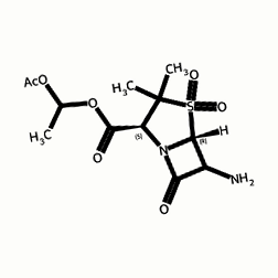 CC(=O)OC(C)OC(=O)[C@@H]1N2C(=O)C(N)[C@H]2S(=O)(=O)C1(C)C